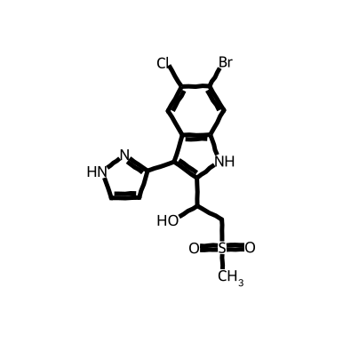 CS(=O)(=O)CC(O)c1[nH]c2cc(Br)c(Cl)cc2c1-c1cc[nH]n1